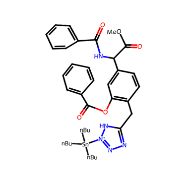 CCC[CH2][Sn]([CH2]CCC)([CH2]CCC)[n+]1nnc(Cc2ccc(C(NC(=O)c3ccccc3)C(=O)OC)cc2OC(=O)c2ccccc2)[nH]1